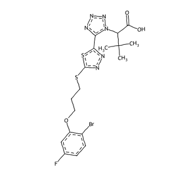 CC(C)(C)C(C(=O)O)n1nnnc1-c1nnc(SCCCOc2cc(F)ccc2Br)s1